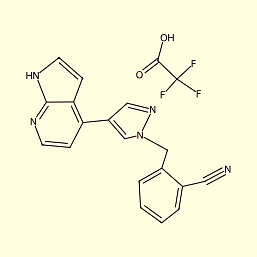 N#Cc1ccccc1Cn1cc(-c2ccnc3[nH]ccc23)cn1.O=C(O)C(F)(F)F